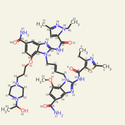 CCc1nc(C)sc1C(=O)Nc1nc2cc(C(N)=O)cc(OC)c2n1C/C=C/Cn1c(NC(=O)c2cc(C)nn2CC)nc2cc(C(N)=O)cc(OCCCN3CCN(C(C)O)CC3)c21